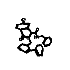 O=C(NCc1ccccc1)C1c2cc(Cl)ccc2C(=O)N1Cc1ccccc1-c1ccccc1